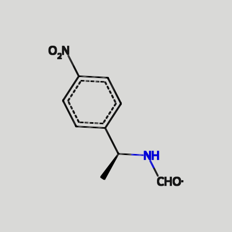 C[C@H](N[C]=O)c1ccc([N+](=O)[O-])cc1